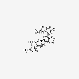 Cc1cn2nc([C@@H]3CCCCN3C(=O)c3cc(Cl)ccc3NC(=O)C3CC3)cc2nc1N1CC[C@H](C)C1